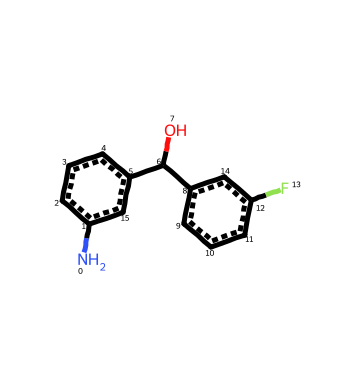 Nc1cccc(C(O)c2cccc(F)c2)c1